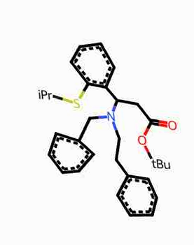 CC(C)Sc1ccccc1C(CC(=O)OC(C)(C)C)N(CCc1ccccc1)Cc1ccccc1